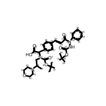 CC(CN(C(=O)OC(C)(C)C)C(C(=O)O)c1ccc(C=CC(=O)N(NC(=O)OC(C)(C)C)c2ccccc2)cc1)N1CCOCC1